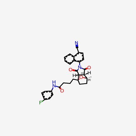 C[C@]12CCC(CCCC(=O)Nc3ccc(F)cc3)(O1)[C@@H]1C(=O)N(c3ccc(C#N)c4ccccc34)C(=O)[C@@H]12